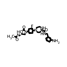 CC(=O)NC[C@H]1CN(c2ccc(N3CCNN(C(=O)NCc4cccc(N)c4)CC3)c(F)c2)C(=O)O1